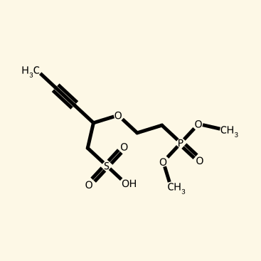 CC#CC(CS(=O)(=O)O)OCCP(=O)(OC)OC